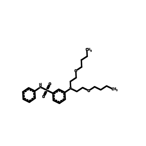 CCCCOCCN(CCOCCCC)c1cccc(S(=O)(=O)Nc2ccccc2)c1